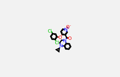 O=C(c1c[n+]([O-])ccc1Oc1cc(Cl)ccc1Cl)N1CCN(C2CC2)c2ccccc21